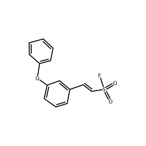 O=S(=O)(F)/C=C/c1cccc(Oc2ccccc2)c1